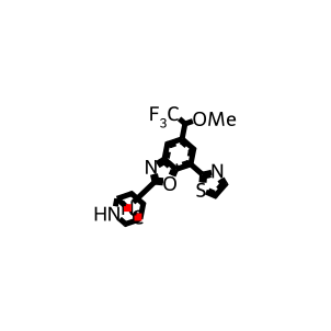 COC(c1cc(-c2nccs2)c2oc(N3CC4CCC(C3)NC4)nc2c1)C(F)(F)F